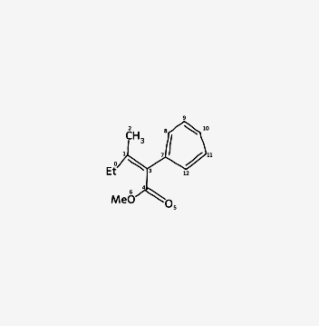 CC/C(C)=C(\C(=O)OC)c1ccccc1